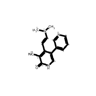 CN(C)C=Cc1c(-c2cccnc2)c[nH]c(=O)c1C#N